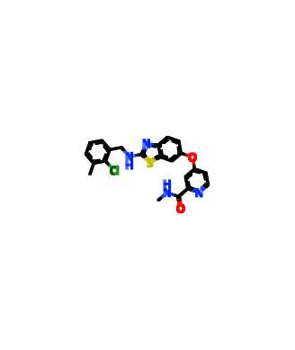 CNC(=O)c1cc(Oc2ccc3nc(NCc4cccc(C)c4Cl)sc3c2)ccn1